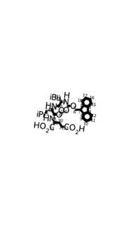 CC[C@H](C)[C@H](NC(=O)OCC1c2ccccc2-c2ccccc21)C(=O)N[C@@H](CC(C)C)C(=O)N[C@@H](CCC(=O)O)C(=O)O